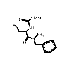 CCCCCCCC(=O)N[C@H](CC(C)=O)C(=O)N(N)Cc1ccccc1